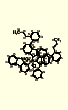 CCCc1ccccc1-c1cccc2c1C=C(c1ccccc1)[CH]2[Hf]([Cl])([Cl])([c]1cccc2c1[SiH2]c1ccccc1-2)[CH]1C(c2ccccc2)=Cc2c(-c3ccccc3CCC)cccc21